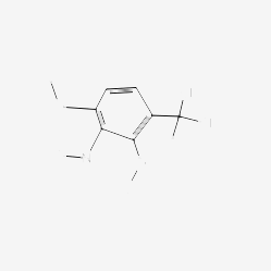 COc1ccc(C(C)(C)C)c(OC)c1N[O]